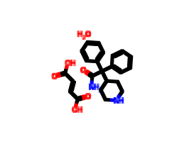 NC(=O)C(c1ccccc1)(c1ccccc1)C1CCNCC1.O.O=C(O)/C=C/C(=O)O